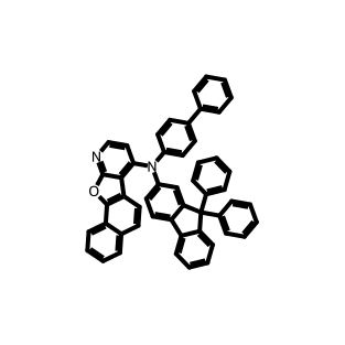 c1ccc(-c2ccc(N(c3ccc4c(c3)C(c3ccccc3)(c3ccccc3)c3ccccc3-4)c3ccnc4oc5c6ccccc6ccc5c34)cc2)cc1